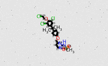 CC(C)(c1ccc(OCc2ccnc(NS(C)(=O)=O)n2)cc1)c1cc(Cl)c(OCCCl)c(Cl)c1